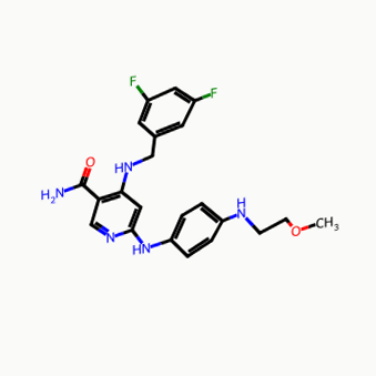 COCCNc1ccc(Nc2cc(NCc3cc(F)cc(F)c3)c(C(N)=O)cn2)cc1